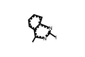 Cc1nc(I)nc2ccccc12